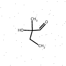 [CH2]CC(C)(O)C=O